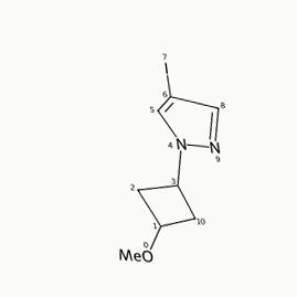 COC1CC(n2cc(I)cn2)C1